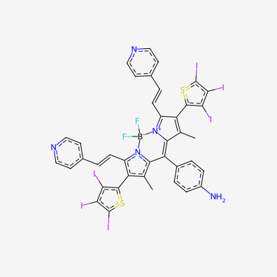 CC1=C(c2sc(I)c(I)c2I)C(/C=C/c2ccncc2)=[N+]2C1=C(c1ccc(N)cc1)c1c(C)c(-c3sc(I)c(I)c3I)c(/C=C/c3ccncc3)n1[B-]2(F)F